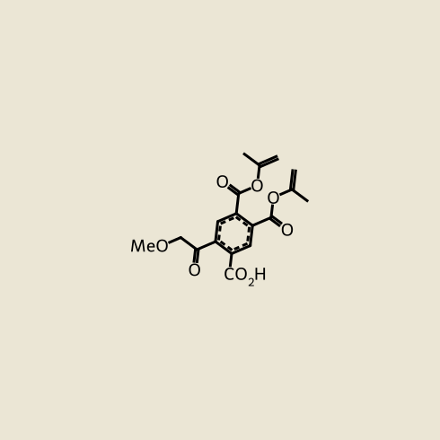 C=C(C)OC(=O)c1cc(C(=O)O)c(C(=O)COC)cc1C(=O)OC(=C)C